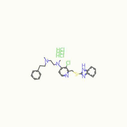 CN(CCc1ccccc1)CCN(C)c1ccnc(CSc2nc3ccccc3[nH]2)c1Cl.Cl.Cl.Cl